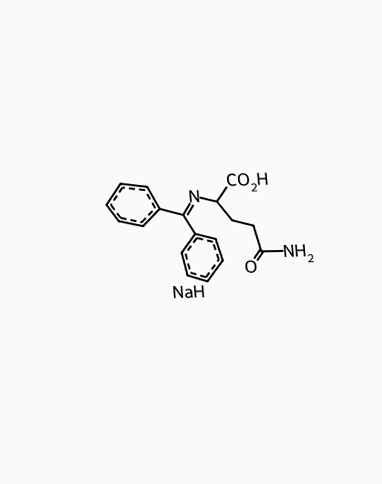 NC(=O)CCC(N=C(c1ccccc1)c1ccccc1)C(=O)O.[NaH]